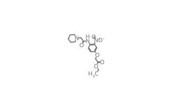 CCOC(=O)COc1ccc(NC(=O)CN2CCCCC2)c([N+](=O)[O-])c1